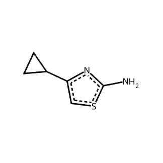 Nc1nc(C2CC2)cs1